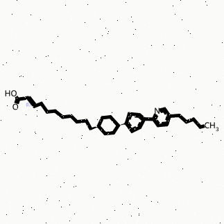 CCCCCc1ccc(-c2ccc([C@H]3CC[C@H](CCCCCCCC/C=C/C(=O)O)CC3)cc2)nc1